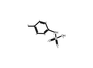 Cc1ccc(PS(=O)(=O)O)cc1